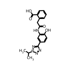 CC(C)n1nnc(-c2ccc(O)c(NC(=O)Cc3ccccc3C(=O)O)c2)n1